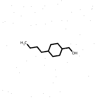 CCCCC1CCC(CO)CC1